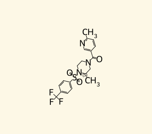 Cc1ccc(C(=O)N2CCN(S(=O)(=O)c3ccc(C(F)(F)F)cc3)[C@@H](C)C2)cn1